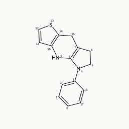 c1ccc(N2CCC3=C2Nc2ccsc2C3)cc1